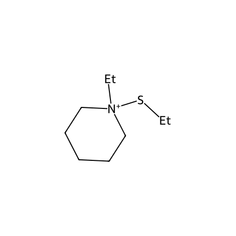 CCS[N+]1(CC)CCCCC1